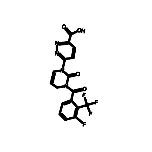 O=C(O)c1ccc(N2C=CCN(C(=O)c3cccc(F)c3C(F)(F)F)C2=O)nn1